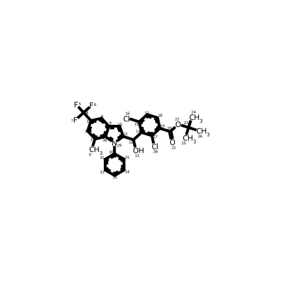 Cc1cc(C(F)(F)F)cc2cc(C(O)c3c(Cl)ccc(C(=O)OC(C)(C)C)c3Cl)n(-c3ccccc3)c12